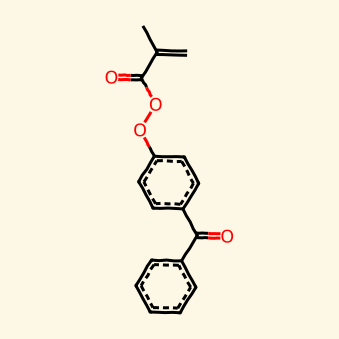 C=C(C)C(=O)OOc1ccc(C(=O)c2ccccc2)cc1